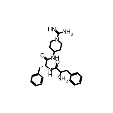 N=C(N)N1CCC(NC(=O)[C@@H](Cc2ccccc2)NC(=O)C(N)Cc2ccccc2)CC1